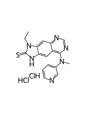 CCn1c(=S)[nH]c2cc3c(N(C)c4cccnc4)ncnc3cc21.Cl.Cl